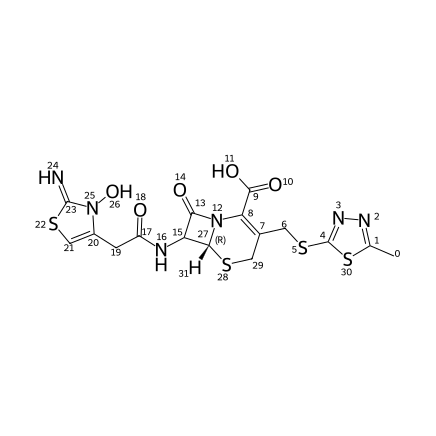 Cc1nnc(SCC2=C(C(=O)O)N3C(=O)C(NC(=O)Cc4csc(=N)n4O)[C@H]3SC2)s1